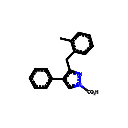 Cc1ccccc1Cc1nn(C(=O)O)cc1-c1ccccc1